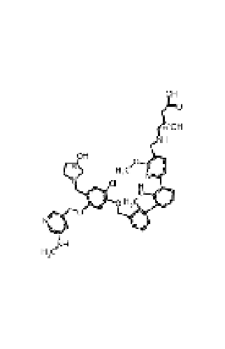 CNc1cncc(COc2cc(OCc3cccc(-c4cccc(-c5ccc(CNC[C@@H](O)CC(=O)O)c(OC)n5)c4C)c3C)c(Cl)cc2CN2CC[C@@H](O)C2)c1